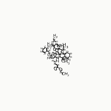 CCOC(=O)/C=C/CC[C@H](NC(=O)OCc1ccccc1)C(=O)N[C@H](C(=O)N(C1CCCCC1)[C@@H](C)C(=O)N[C@@H](CC(C)C)C(N)=O)C(C)C